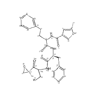 Cc1cc(C(=O)NC(CCc2ccccc2)C(=O)N[C@@H](Cc2ccncc2)C(=O)NC(CC(C)C)C(=O)C2(C)CO2)no1